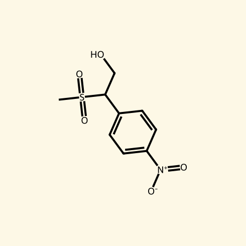 CS(=O)(=O)C(CO)c1ccc([N+](=O)[O-])cc1